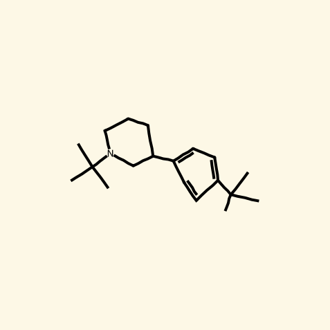 CC(C)(C)c1ccc(C2CCCN(C(C)(C)C)C2)cc1